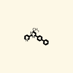 Cc1cc(-c2ccc(-c3ccccc3)cc2)nc(-c2cccnc2)n1